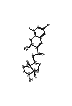 Cc1cc(Cl)cc2c1O[C@H](C(F)(F)F)C(C(=O)O[C@H]1CO[C@H]3[C@@H]1OC[C@H]3O)=C2